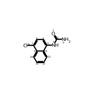 NC(=O)Nc1ccc(Cl)c2ccccc12